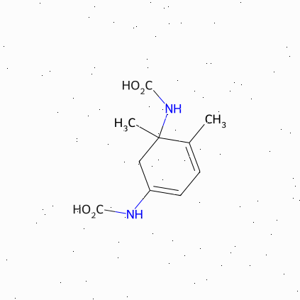 CC1=CC=C(NC(=O)O)CC1(C)NC(=O)O